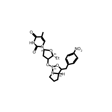 CC[C@H]1O[C@@H](n2cc(C)c(=O)[nH]c2=O)CC1O[P@@]1OC(Cc2ccc([N+](=O)[O-])cc2)[C@@H]2CCCN21